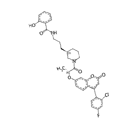 C[C@@H](Oc1ccc2c(-c3ccc(F)cc3Cl)cc(=O)oc2c1)C(=O)N1CCC[C@H](CCCNC(=O)c2ccccc2O)C1